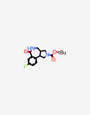 CC(C)(C)OC(=O)N1CC2CNC(=O)c3cc(F)ccc3C2C1